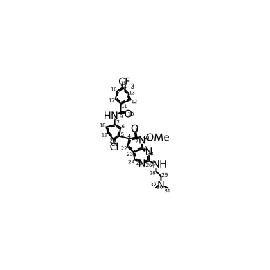 COn1c(=O)c(-c2cc(NC(=O)c3ccc(C(F)(F)F)cc3)ccc2Cl)cc2cnc(NCCN(C)C)nc21